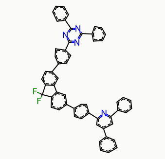 FC1(F)c2ccc(-c3ccc(-c4cc(-c5ccccc5)cc(-c5ccccc5)n4)cc3)cc2-c2cc(-c3ccc(-c4nc(-c5ccccc5)nc(-c5ccccc5)n4)cc3)ccc21